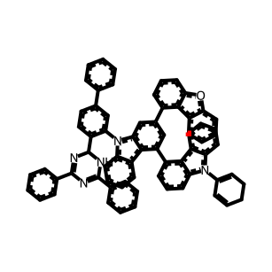 C1=CC(n2c3ccccc3c3c(-c4cc(-c5cccc6oc7ccccc7c56)cc5c4c4ccccc4n5-c4cc(-c5ccccc5)ccc4C4N=C(c5ccccc5)N=C(c5ccccc5)N4)cccc32)=CCC1